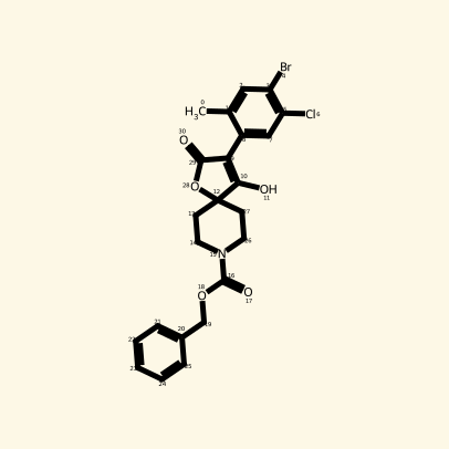 Cc1cc(Br)c(Cl)cc1C1=C(O)C2(CCN(C(=O)OCc3ccccc3)CC2)OC1=O